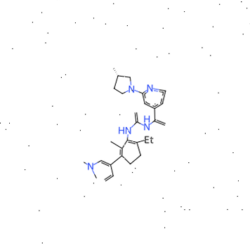 C=C/C(=C\N(C)C)C1=C(C)C(NC(=C)NC(=C)c2ccnc(N3CC[C@H](C)C3)c2)=C(CC)CC1